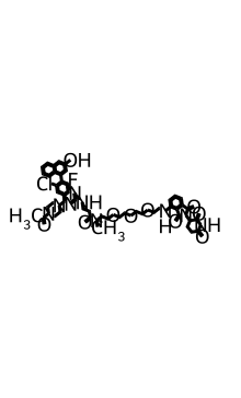 CC(=O)N1CCN(c2nc(NCCC(=O)N(C)CCOCCOCCOCCNc3cccc4c3C(=O)N(C3CCC(=O)NC3=O)C4=O)nc3c(F)c(-c4cc(O)cc5ccccc45)c(Cl)cc23)CC1